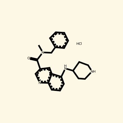 CN(Cc1ccccc1)C(=O)c1cnc2cccc(NC3CCNCC3)c2c1.Cl